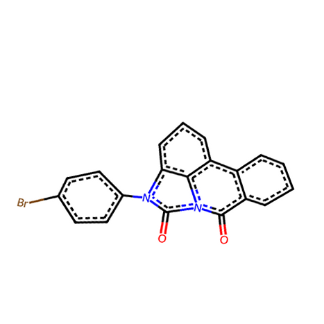 O=c1c2ccccc2c2cccc3c2n1c(=O)n3-c1ccc(Br)cc1